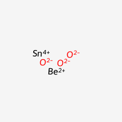 [Be+2].[O-2].[O-2].[O-2].[Sn+4]